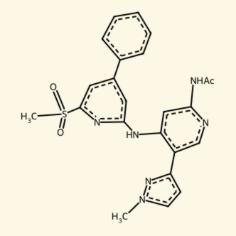 CC(=O)Nc1cc(Nc2cc(-c3ccccc3)cc(S(C)(=O)=O)n2)c(-c2ccn(C)n2)cn1